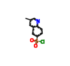 Cc1cnc2ccc(S(=O)(=O)Cl)cc2c1